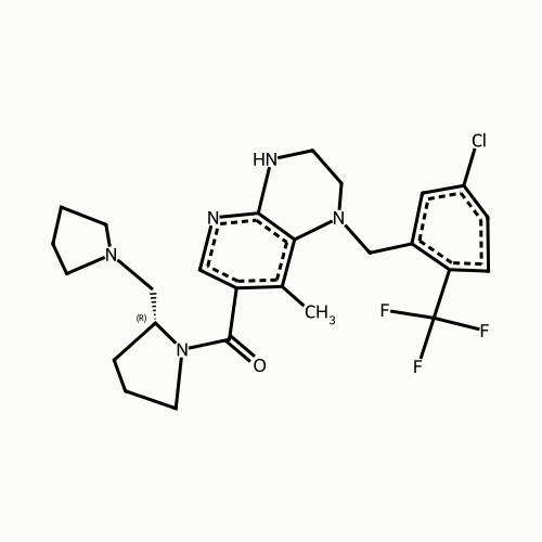 Cc1c(C(=O)N2CCC[C@@H]2CN2CCCC2)cnc2c1N(Cc1cc(Cl)ccc1C(F)(F)F)CCN2